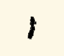 CCc1ccc(NC(=O)CSc2nnc(-c3ccc(S(=O)(=O)N4CCCC4)cc3)o2)cc1